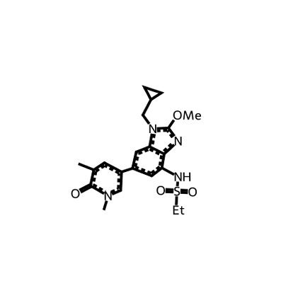 CCS(=O)(=O)Nc1cc(-c2cc(C)c(=O)n(C)c2)cc2c1nc(OC)n2CC1CC1